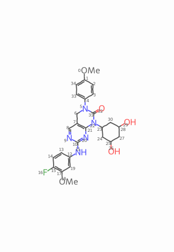 COc1ccc(N2Cc3cnc(Nc4ccc(F)c(OC)c4)nc3N(C3CC(O)CC(O)C3)C2=O)cc1